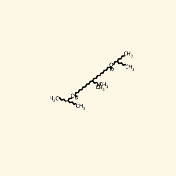 CCCCCC(CCCCC)CCOC(=O)CCCCCCCCCC(CCCCCCCCCC(=O)OCCC(CCCCC)CCCCC)CCN(C)C